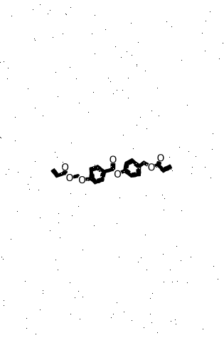 C=CC(=O)OCOc1ccc(C(=O)Oc2ccc(COC(=O)C=C)cc2)cc1